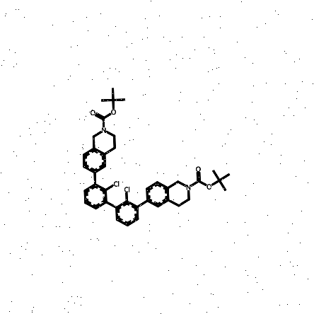 CC(C)(C)OC(=O)N1CCc2cc(-c3cccc(-c4cccc(-c5ccc6c(c5)CCN(C(=O)OC(C)(C)C)C6)c4Cl)c3Cl)ccc2C1